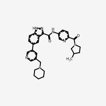 CC1CCN(C(=O)c2ccc(NC(=O)c3n[nH]c4ccc(-c5cncc(CN6CCCCC6)c5)cc34)cn2)C1